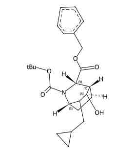 CC(C)(C)OC(=O)N1[C@H](C(=O)OCc2ccccc2)[C@@H]2CC[C@H]1C(CC1CC1)[C@@H]2O